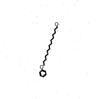 [O]CCCCCCCCCCCCCCCOc1ccccc1